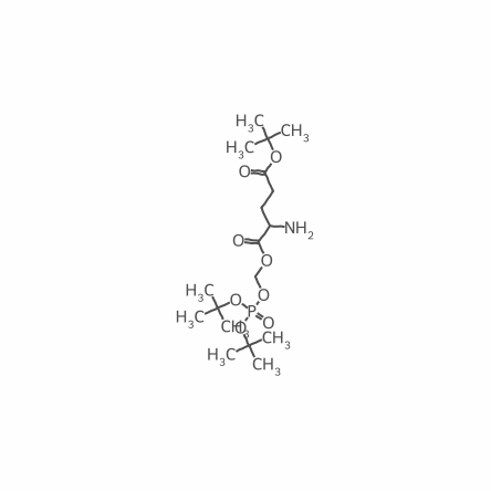 CC(C)(C)OC(=O)CCC(N)C(=O)OCOP(=O)(OC(C)(C)C)OC(C)(C)C